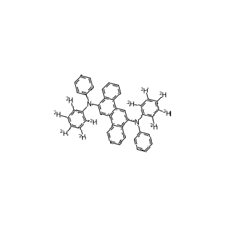 [2H]c1c([2H])c([2H])c(N(c2ccccc2)c2cc3c4ccccc4c(N(c4ccccc4)c4c([2H])c([2H])c([2H])c([2H])c4[2H])cc3c3ccccc23)c([2H])c1[2H]